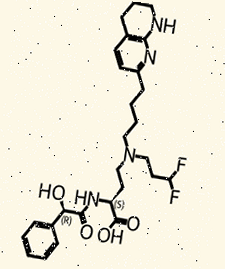 O=C(O)[C@H](CCN(CCCCc1ccc2c(n1)NCCC2)CCC(F)F)NC(=O)[C@H](O)c1ccccc1